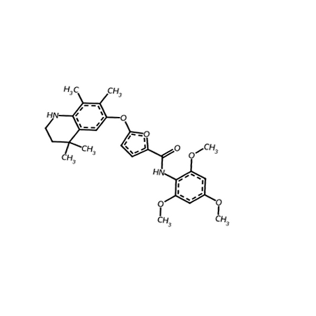 COc1cc(OC)c(NC(=O)c2ccc(Oc3cc4c(c(C)c3C)NCCC4(C)C)o2)c(OC)c1